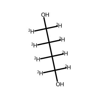 [2H]C([2H])(O)C([2H])([2H])C([2H])([2H])C([2H])([2H])O